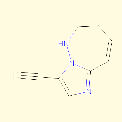 C#Cc1cnc2n1NCCC=C2